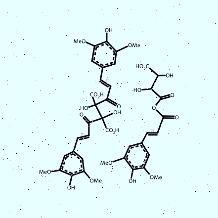 COc1cc(/C=C/C(=O)C(O)(C(=O)O)C(O)(C(=O)O)C(=O)/C=C/c2cc(OC)c(O)c(OC)c2)cc(OC)c1O.COc1cc(/C=C/C(=O)OC(=O)C(O)C(O)C(=O)O)cc(OC)c1O